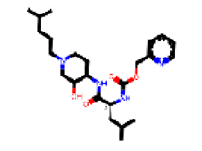 CC(C)CCCN1CCC(NC(=O)[C@H](CC(C)C)NC(=O)OCc2ccccn2)C(O)C1